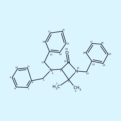 CC1(C)C(N(Cc2ccccc2)Cc2ccccc2)C(=O)N1Cc1ccccc1